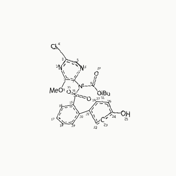 COc1nc(Cl)cnc1N(C(=O)OCC(C)C)S(=O)(=O)c1ccccc1-c1ccc(O)cc1